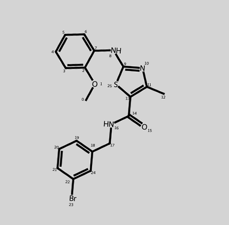 COc1ccccc1Nc1nc(C)c(C(=O)NCc2cccc(Br)c2)s1